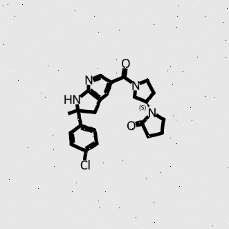 CC1(c2ccc(Cl)cc2)Cc2cc(C(=O)N3CC[C@H](N4CCCC4=O)C3)cnc2N1